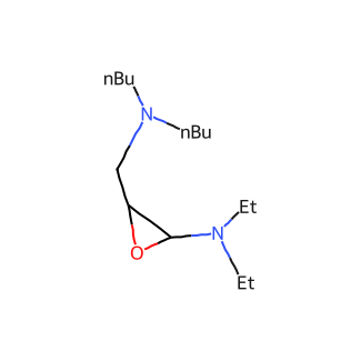 CCCCN(CCCC)CC1OC1N(CC)CC